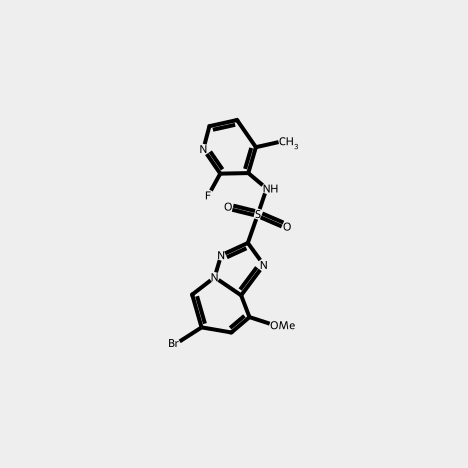 COc1cc(Br)cn2nc(S(=O)(=O)Nc3c(C)ccnc3F)nc12